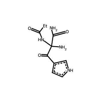 CCC(=O)NC(N)(C(N)=O)C(=O)c1cc[nH]c1